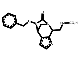 O=C(O)NCC1c2sccc2C2CN1C(=O)N2OCc1ccccc1